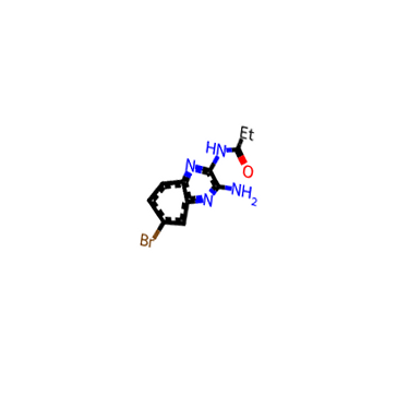 CCC(=O)Nc1nc2ccc(Br)cc2nc1N